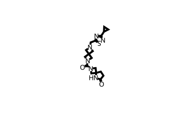 O=C1CCC2(CN(C(=O)N3CC4(CN(Cc5nc(C6CC6)ns5)C4)C3)C2)N1